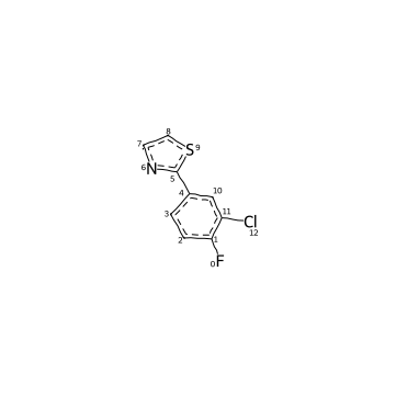 Fc1ccc(-c2n[c]cs2)cc1Cl